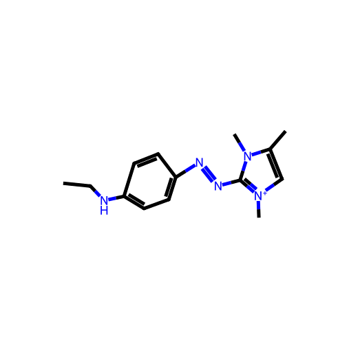 CCNc1ccc(N=Nc2n(C)c(C)c[n+]2C)cc1